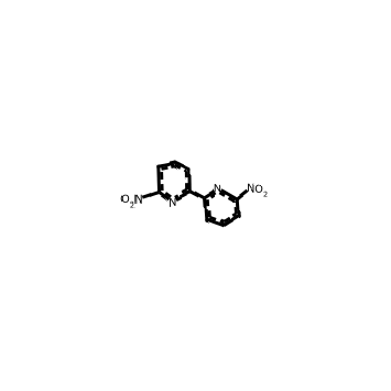 O=[N+]([O-])c1cccc(-c2cccc([N+](=O)[O-])n2)n1